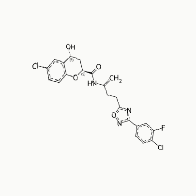 C=C(CCc1nc(-c2ccc(Cl)c(F)c2)no1)NC(=O)[C@@H]1C[C@@H](O)c2cc(Cl)ccc2O1